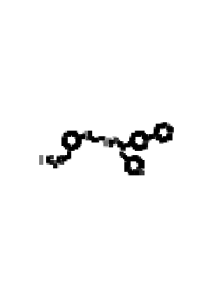 O=C(O)Cc1cccc(OCCO/N=C(\Cc2ccncc2)c2ccc(-c3ccccc3)cc2)c1